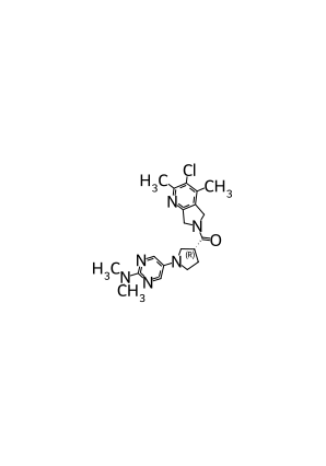 Cc1nc2c(c(C)c1Cl)CN(C(=O)[C@@H]1CCN(c3cnc(N(C)C)nc3)C1)C2